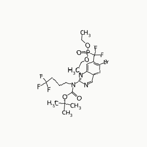 CCOP(=O)(OCC)C(F)(F)c1cc2nc(N(CCCC(F)(F)F)C(=O)OC(C)(C)C)ncc2cc1Br